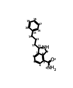 NC(=O)c1cccc2c1CNC2CCCc1ccccc1